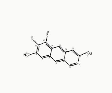 CCCCc1ccc2cc3cc(C)c(F)c(F)c3cc2c1